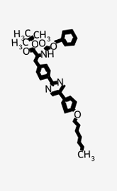 CCCCCCCOc1ccc(-c2cnc(-c3ccc(CC(NC(=O)OCc4ccccc4)C(=O)OC(C)(C)C)cc3)nc2)cc1